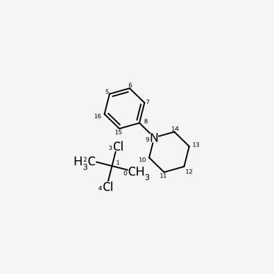 CC(C)(Cl)Cl.c1ccc(N2CCCCC2)cc1